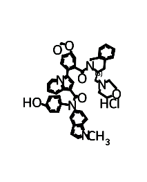 Cl.Cn1ccc2cc(N(C(=O)c3cc(-c4cc5c(cc4C(=O)N4Cc6ccccc6C[C@H]4CN4CCOCC4)OCO5)n4ccccc34)c3ccc(O)cc3)ccc21